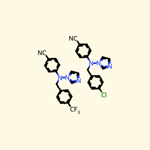 N#Cc1ccc(N(Cc2ccc(C(F)(F)F)cc2)n2ccnc2)cc1.N#Cc1ccc(N(Cc2ccc(Cl)cc2)n2ccnc2)cc1